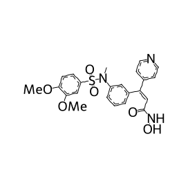 COc1ccc(S(=O)(=O)N(C)c2cccc(/C(=C\C(=O)NO)c3ccncc3)c2)cc1OC